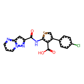 O=C(Nc1scc(-c2ccc(Cl)cc2)c1C(=O)O)c1cc2ncccn2n1